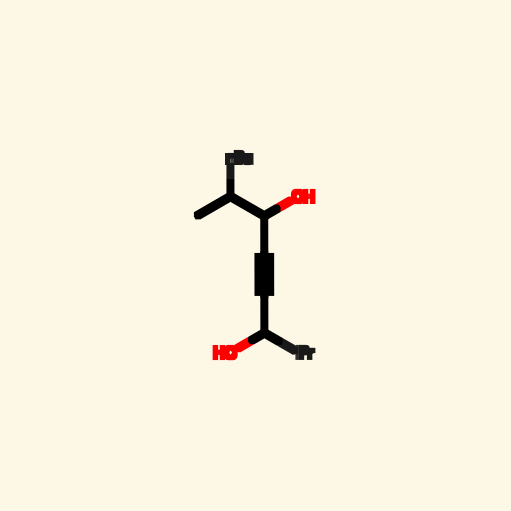 CCCCC(C)C(O)C#CC(O)C(C)C